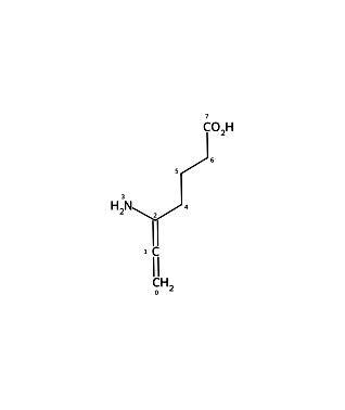 C=C=C(N)CCCC(=O)O